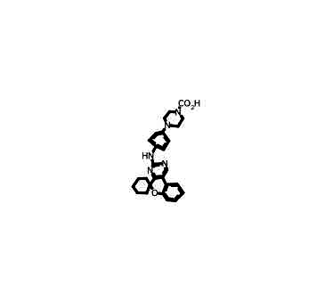 O=C(O)N1CCN(c2ccc(Nc3ncc4c(n3)C3(CCCCC3)Oc3ccccc3-4)cc2)CC1